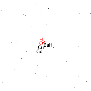 O.[BaH2].[Cu].[Gd]